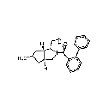 CC1C[C@H]2CN(C(=O)c3ccccc3-c3ccccc3)[C@H](CN)[C@H]2C1